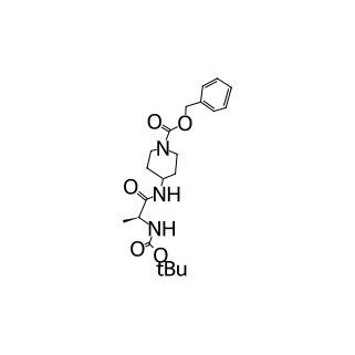 C[C@H](NC(=O)OC(C)(C)C)C(=O)NC1CCN(C(=O)OCc2ccccc2)CC1